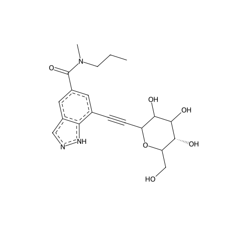 CCCN(C)C(=O)c1cc(C#CC2OC(CO)[C@@H](O)C(O)C2O)c2[nH]ncc2c1